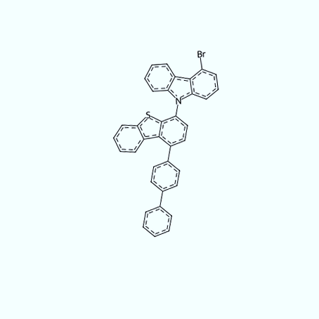 Brc1cccc2c1c1ccccc1n2-c1ccc(-c2ccc(-c3ccccc3)cc2)c2c1sc1ccccc12